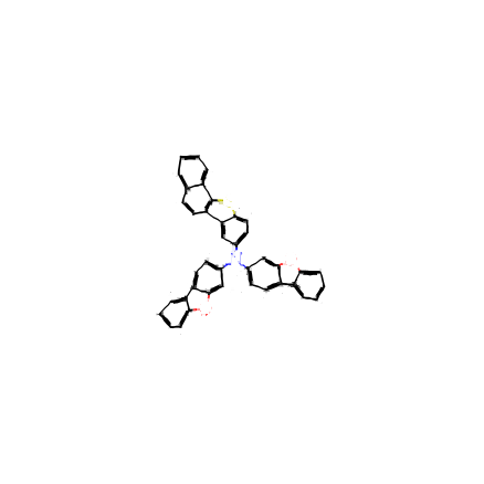 c1ccc2c(c1)ccc1c3cc(N(c4ccc5c(c4)oc4ccccc45)c4ccc5c(c4)oc4ccccc45)ccc3sc21